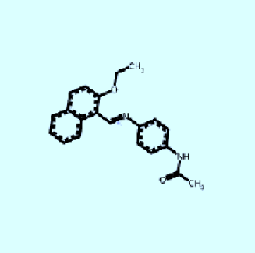 CCOc1ccc2ccccc2c1/C=N/c1ccc(NC(C)=O)cc1